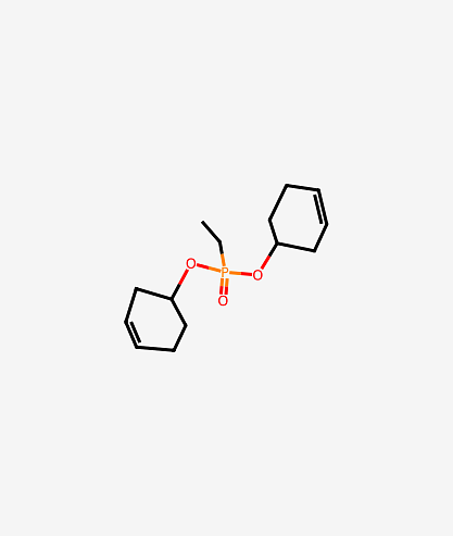 CCP(=O)(OC1CC=CCC1)OC1CC=CCC1